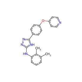 Cc1cccc(Nc2nnc(-c3ccc(Oc4ccncc4)cc3)[nH]2)c1C